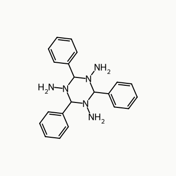 NN1C(c2ccccc2)N(N)C(c2ccccc2)N(N)C1c1ccccc1